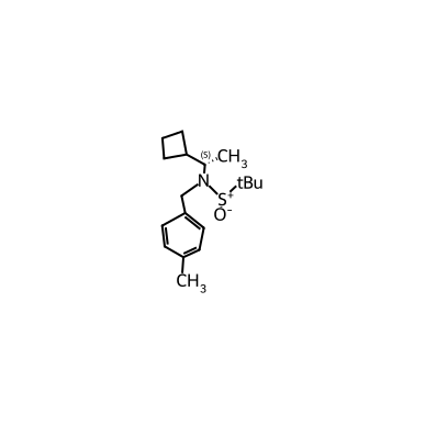 Cc1ccc(CN([C@@H](C)C2CCC2)[S+]([O-])C(C)(C)C)cc1